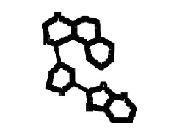 c1ccc2c(c1)ccc1ncnc(-c3ccnc(-c4nc5cccnc5o4)c3)c12